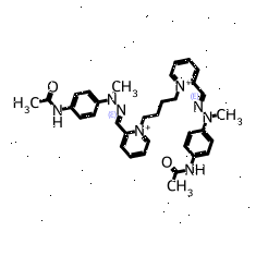 CC(=O)Nc1ccc(N(C)/N=C/c2cccc[n+]2CCCC[n+]2ccccc2/C=N/N(C)c2ccc(NC(C)=O)cc2)cc1